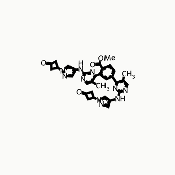 COC(=O)c1ccc(-c2nc(Nc3cnn(C4CC(=O)C4)c3)ncc2C)cc1-c1nc(Nc2cnn(C3CC(=O)C3)c2)ncc1C